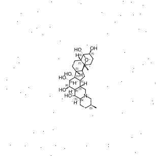 C[C@H]1CC[C@@H]2N(C1)C[C@@H]1[C@H]([C@@H](O)[C@H](O)[C@@]3(O)[C@@H]4CC[C@@H]5[C@]6(O)OC4(C[C@@H]13)[C@@]5(C)CC[C@@H]6O)[C@]2(C)O